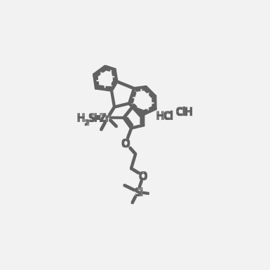 C[Si](C)(C)OCCOC1=[C]([Zr]([CH3])([CH3])(=[SiH2])[CH]2c3ccccc3-c3ccccc32)CC=C1.Cl.Cl